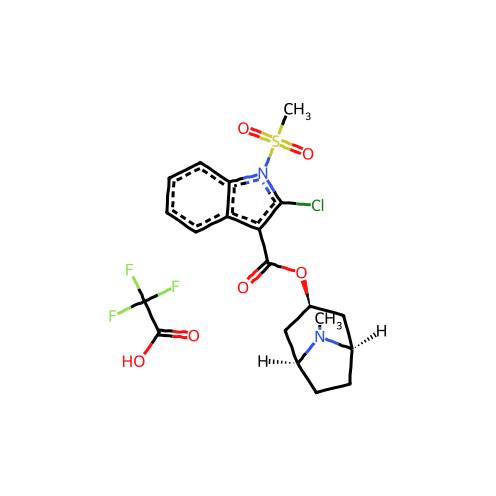 CN1[C@@H]2CC[C@H]1C[C@@H](OC(=O)c1c(Cl)n(S(C)(=O)=O)c3ccccc13)C2.O=C(O)C(F)(F)F